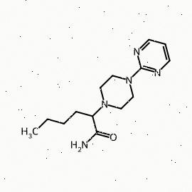 CCCCC(C(N)=O)N1CCN(c2ncccn2)CC1